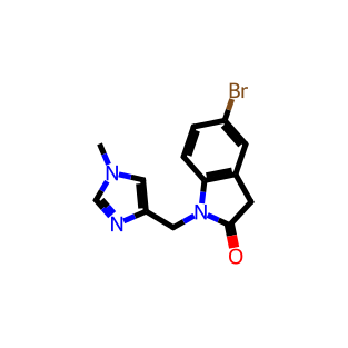 Cn1cnc(CN2C(=O)Cc3cc(Br)ccc32)c1